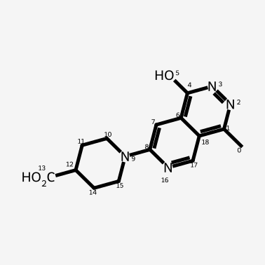 Cc1nnc(O)c2cc(N3CCC(C(=O)O)CC3)ncc12